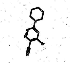 N#Cc1ncc(N2CCCCC2)cc1Br